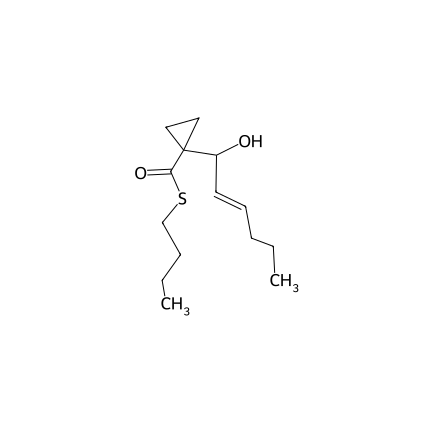 CCC/C=C/C(O)C1(C(=O)SCCCC)CC1